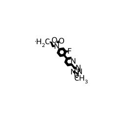 [CH2][C@@H]1CN(c2ccc(-c3ccc(-c4nnn(C)n4)nc3)c(F)c2)C(=O)O1